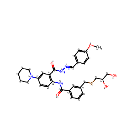 COc1ccc(/C=N/NC(=O)c2cc(N3CCCCC3)ccc2NC(=O)c2cccc(CSCC(O)CO)c2)cc1